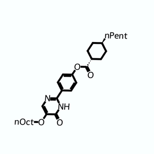 CCCCCCCCOc1cnc(-c2ccc(OC(=O)[C@H]3CC[C@H](CCCCC)CC3)cc2)[nH]c1=O